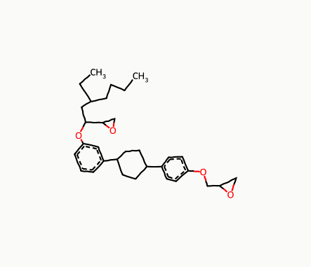 CCCCC(CC)CC(Oc1cccc(C2CCC(c3ccc(OCC4CO4)cc3)CC2)c1)C1CO1